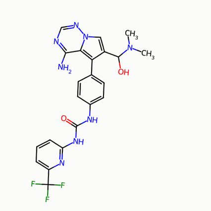 CN(C)C(O)c1cn2ncnc(N)c2c1-c1ccc(NC(=O)Nc2cccc(C(F)(F)F)n2)cc1